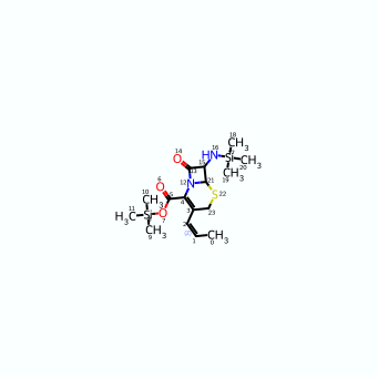 C/C=C\C1=C(C(=O)O[Si](C)(C)C)N2C(=O)C(N[Si](C)(C)C)C2SC1